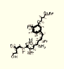 CCC(CCO)CNC(=O)[C@@H](C[C@H](O)[C@@H](N)C[C@H](Cc1ccc(F)c(OCCCOC)c1)C(C)C)C(C)C